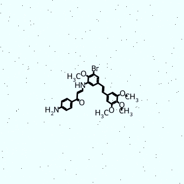 COc1cc(C=Cc2cc(Br)c(OC)c(NC=CC(=O)c3ccc(N)cc3)c2)cc(OC)c1OC